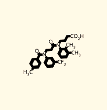 Cc1ccc(C(=O)N(CCC(=O)N(CCCC(=O)O)c2cccc(C)c2C)c2cccc(C(F)(F)F)c2)cc1